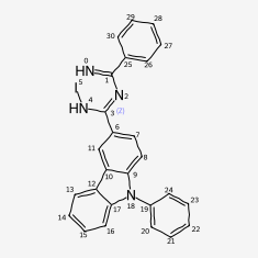 N=C(/N=C(\NI)c1ccc2c(c1)c1ccccc1n2-c1ccccc1)c1ccccc1